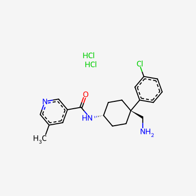 Cc1cncc(C(=O)N[C@H]2CC[C@@](CN)(c3cccc(Cl)c3)CC2)c1.Cl.Cl